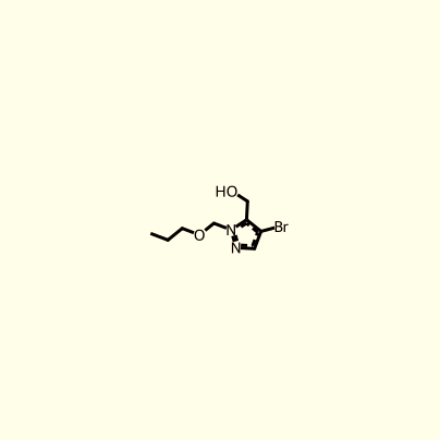 CCCOCn1ncc(Br)c1CO